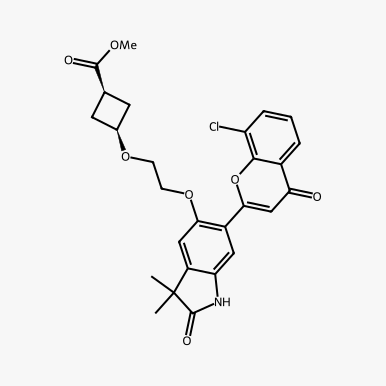 COC(=O)[C@H]1C[C@@H](OCCOc2cc3c(cc2-c2cc(=O)c4cccc(Cl)c4o2)NC(=O)C3(C)C)C1